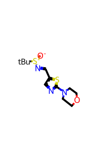 CC(C)(C)[S+]([O-])/N=C/c1cnc(N2CCOCC2)s1